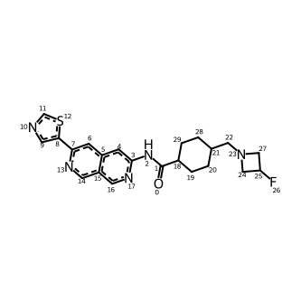 O=C(Nc1cc2cc(-c3cncs3)ncc2cn1)C1CCC(CN2CC(F)C2)CC1